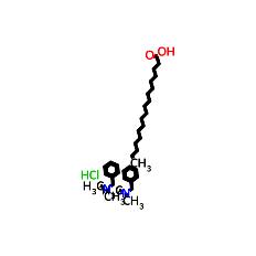 CCCCCCCCCCCCCCCCCC(=O)O.CN(C)Cc1ccccc1.CN(C)Cc1ccccc1.Cl